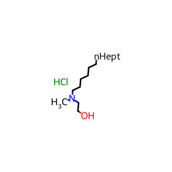 CCCCCCCCCCCCCN(C)CCO.Cl